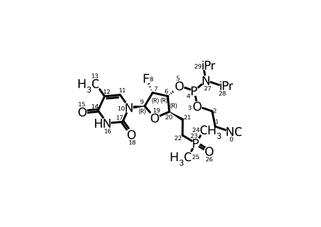 [C-]#[N+]CCOP(O[C@H]1[C@@H](F)[C@H](n2cc(C)c(=O)[nH]c2=O)O[C@@H]1CCP(C)(C)=O)N(C(C)C)C(C)C